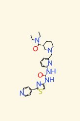 CCN(CC)C(=O)C1CCCN(Cc2cccc(NC(=O)Nc3csc(-c4ccncc4)n3)n2)C1